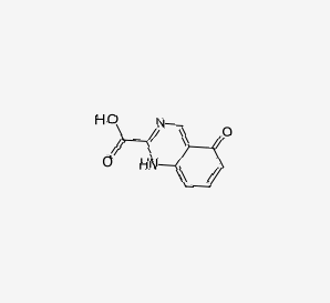 O=C(O)c1ncc2c(=O)cccc-2[nH]1